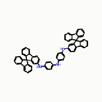 c1ccc2c(c1)-c1ccccc1C21c2ccccc2-c2ccc(Nc3ccc(Nc4ccc(Nc5ccc6c(c5)C5(c7ccccc7-c7ccccc75)c5ccccc5-6)cc4)cc3)cc21